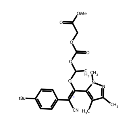 COC(=O)COC(=O)OC(C)O/C(=C(/C#N)c1ccc(C(C)(C)C)cc1)c1c(C)c(C)nn1C